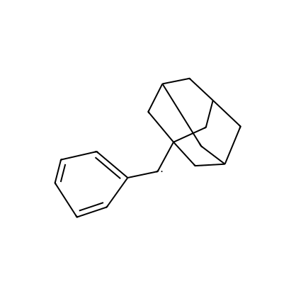 [CH](c1ccccc1)C12CC3CC(CC(C3)C1)C2